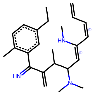 C=C/C=C\C(=C\C(C(C)C(=C)C(=N)c1cc(CC)ccc1C)N(C)C)NC